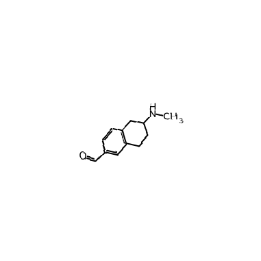 CNC1CCc2cc(C=O)ccc2C1